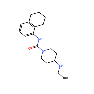 CC(C)(C)CNC1CCN(C(=O)Nc2cccc3c2CCCC3)CC1